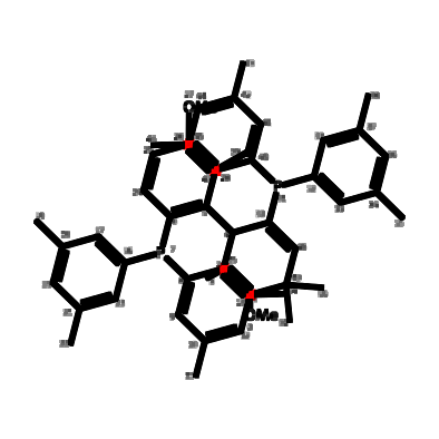 COC1=C(C)C(c2c(P(c3cc(C)cc(C)c3)c3cc(C)cc(C)c3)ccc(OC)c2C)C(P(c2cc(C)cc(C)c2)c2cc(C)cc(C)c2)=CC1(C)C